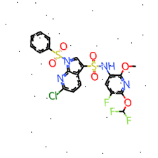 COc1nc(OC(F)F)c(F)cc1NS(=O)(=O)c1cn(S(=O)(=O)c2ccccc2)c2nc(Cl)ccc12